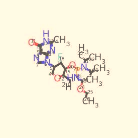 [2H]CC1OCC(n2cnc3c(=O)[nH]c(C)nc32)C(F)C1OP(NCOCC)N(C(C)C)C(C)C